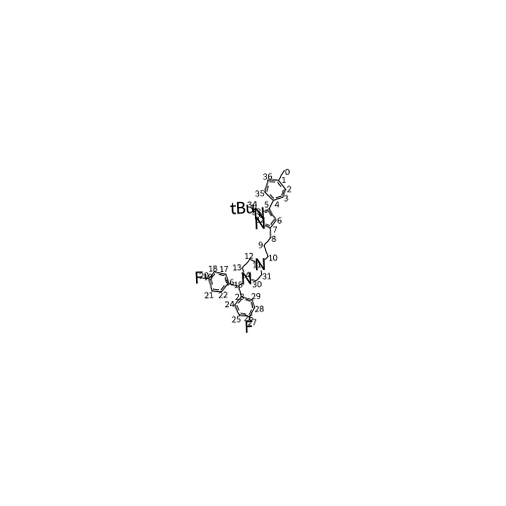 Cc1ccc(-c2cc(CCCN3CCN(C(c4ccc(F)cc4)c4ccc(F)cc4)CC3)nn2C(C)(C)C)cc1